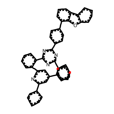 c1ccc(-c2cc(-c3ccccc3)nc(-c3ccccc3-c3nc(-c4ccccc4)nc(-c4ccc(-c5cccc6c5oc5ccccc56)cc4)n3)c2)cc1